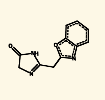 O=C1CN=C(Cc2nc3ccccc3o2)N1